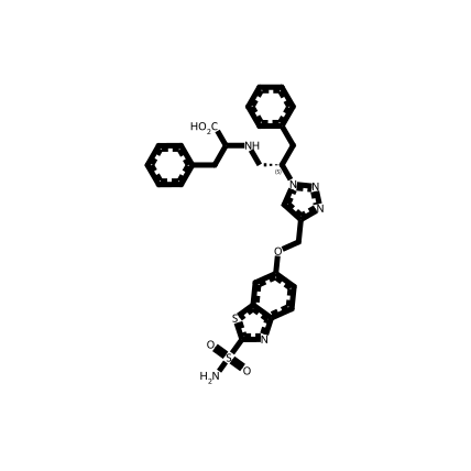 NS(=O)(=O)c1nc2ccc(OCc3cn([C@H](CNC(Cc4ccccc4)C(=O)O)Cc4ccccc4)nn3)cc2s1